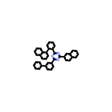 c1ccc(-c2cccc(-c3nc(-c4ccc5ccccc5c4)nc(-c4ccccc4-c4cccc5ccccc45)n3)c2)cc1